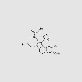 COc1cc2c(cc1Br)-c1c(-c3cccs3)c3c(n1CC2)CON(C(C)C)CCN(C(=O)OC(C)(C)C)C3